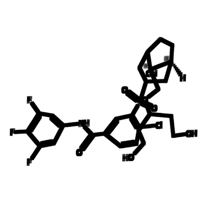 O=C(Nc1cc(F)c(F)c(F)c1)c1ccc(Cl)c(S(=O)(=O)C2CC3CC[C@@H](C2)[C@@]3(O)COC(CCO)CCO)c1